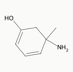 CC1(N)C=CC=C(O)C1